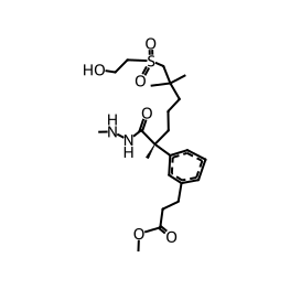 CNNC(=O)[C@](C)(CCCC(C)(C)CS(=O)(=O)CCO)c1cccc(CCC(=O)OC)c1